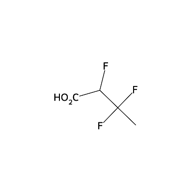 CC(F)(F)C(F)C(=O)O